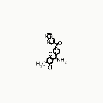 Cc1cc(O)c([C@H](N)C2CCN(C(=O)c3cnc4nccn4c3)CC2)cc1Cl